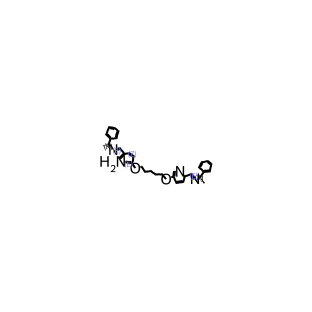 C=C(/C=C\C(=C/N)OCCCCCOc1ccc(/C=N/[C@H](C)c2ccccc2)nc1)/C=N/[C@H](C)c1ccccc1